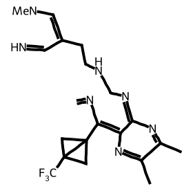 C=N/C(=C1/N=C(C)C(C)=N/C1=N/CNCC/C(C=N)=C/NC)C12CC1(C(F)(F)F)C2